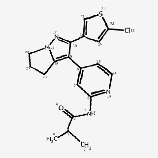 CC(C)C(=O)Nc1cc(-c2c(-c3csc(Cl)c3)nn3c2CCC3)ccn1